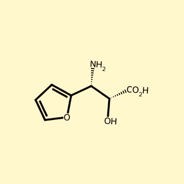 N[C@@H](c1ccco1)[C@@H](O)C(=O)O